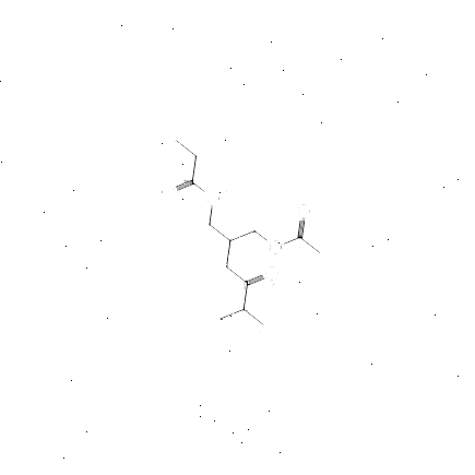 CCC(=O)OCC(COC(C)=O)CC(=O)C(C)C